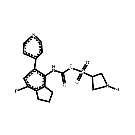 CCN1CC(S(=O)(=O)NC(=O)Nc2c(-c3ccncc3)cc(F)c3c2CCC3)C1